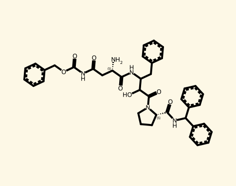 N[C@@H](CC(=O)NC(=O)OCc1ccccc1)C(=O)NC(Cc1ccccc1)C(O)C(=O)N1CCC[C@H]1C(=O)NC(c1ccccc1)c1ccccc1